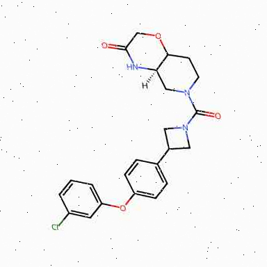 O=C1COC2CCN(C(=O)N3CC(c4ccc(Oc5cccc(Cl)c5)cc4)C3)C[C@H]2N1